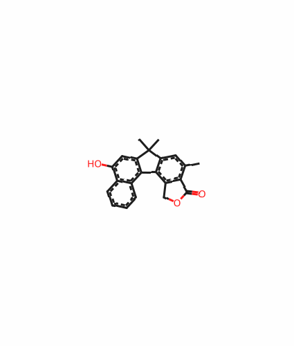 Cc1cc2c(c3c1C(=O)OC3)-c1c(cc(O)c3ccccc13)C2(C)C